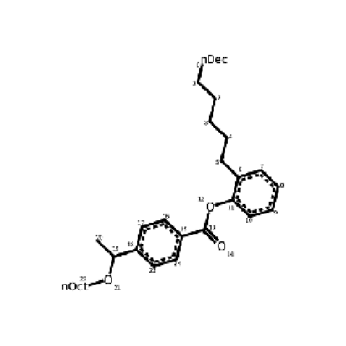 CCCCCCCCCCCCCCCc1ccccc1OC(=O)c1ccc(C(C)OCCCCCCCC)cc1